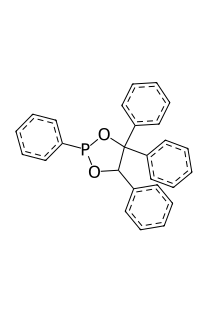 c1ccc(C2OP(c3ccccc3)OC2(c2ccccc2)c2ccccc2)cc1